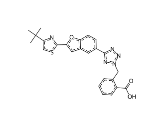 CC(C)(C)c1csc(-c2cc3cc(-c4nnn(Cc5ccccc5C(=O)O)n4)ccc3o2)n1